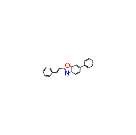 C(=C\c1nc2ccc(-c3ccccc3)cc2o1)/c1ccccc1